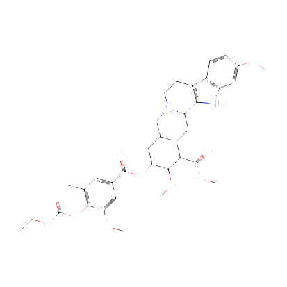 CCOC(=O)Oc1c(C)cc(C(=O)OC2CC3CN4CCc5c([nH]c6cc(OC)ccc56)C4CC3C(C(=O)OC)C2OC)cc1OC